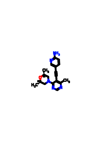 Cc1ncnc(N2C[C@@H](C)O[C@@H](C)C2)c1C#Cc1ccc(N)nc1